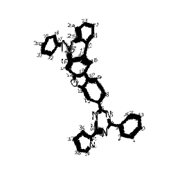 c1ccc(-c2nc(-c3ccc4c(c3)oc3cc5c(cc34)c3ccccc3n5-c3ccccc3)nc(-c3ccccn3)n2)cc1